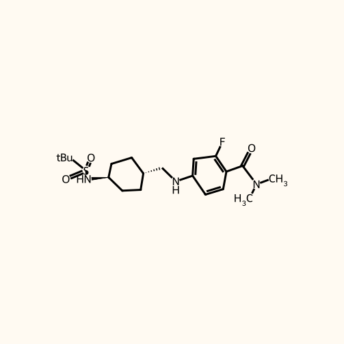 CN(C)C(=O)c1ccc(NC[C@H]2CC[C@H](NS(=O)(=O)C(C)(C)C)CC2)cc1F